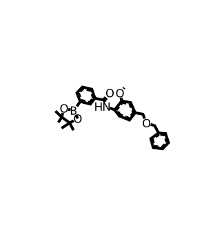 COc1cc(COCc2ccccc2)ccc1NC(=O)c1cccc(B2OC(C)(C)C(C)(C)O2)c1